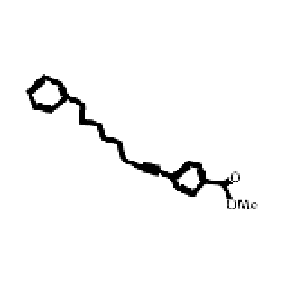 COC(=O)c1ccc(C#CCCCCCCc2ccccc2)cc1